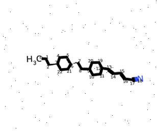 CCC[C@H]1CC[C@H](CCC2CCC(C=CC=CC#N)CC2)CC1